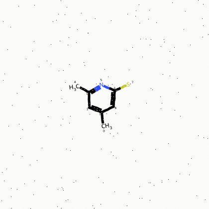 Cc1cc(C)nc([S])c1